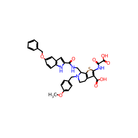 COc1ccc(CN2CCc3c(sc(NC(=O)C(=O)O)c3C(=O)O)C2CNC(=O)c2cc3cc(OCc4ccccc4)ccc3[nH]2)cc1